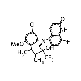 COc1cc(Cl)ccc1C(C)C(C)C(O)(C=Nc1ccc(F)c2[nH]c(=O)ccc12)C(F)(F)F